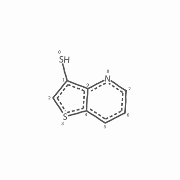 Sc1csc2cccnc12